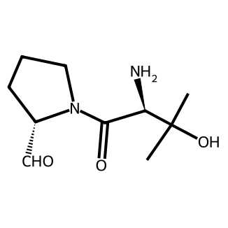 CC(C)(O)[C@H](N)C(=O)N1CCC[C@H]1C=O